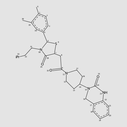 Cc1ccc(C2SC(CC(=O)N3CCC(N4Cc5ccccc5NC4=O)CC3)C(=O)N2CCC(C)C)cc1C